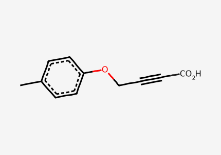 Cc1ccc(OCC#CC(=O)O)cc1